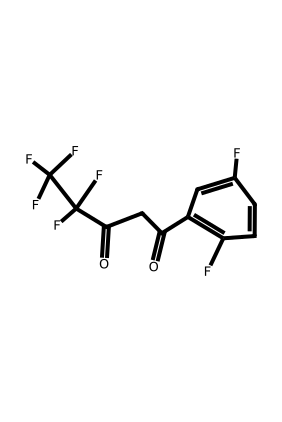 O=C(CC(=O)C(F)(F)C(F)(F)F)c1cc(F)ccc1F